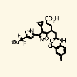 Cc1ccc(NC(=O)CC(CCC(=O)O)c2onc(-c3cc(C(F)(F)C(C)(C)C)on3)c2C2CC2)c(Cl)c1